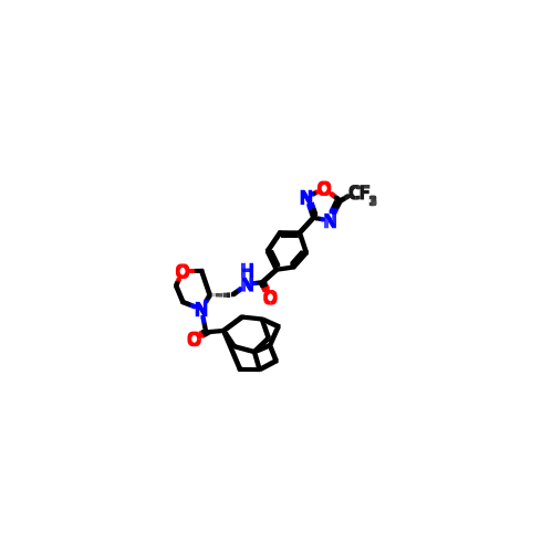 O=C(NC[C@H]1COCCN1C(=O)C12CC3CC4CC(C1)C4(C3)C2)c1ccc(-c2noc(C(F)(F)F)n2)cc1